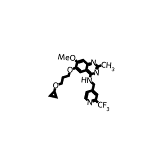 COc1cc2nc(C)nc(NCc3ccnc(C(F)(F)F)c3)c2cc1OCCCOC1CC1